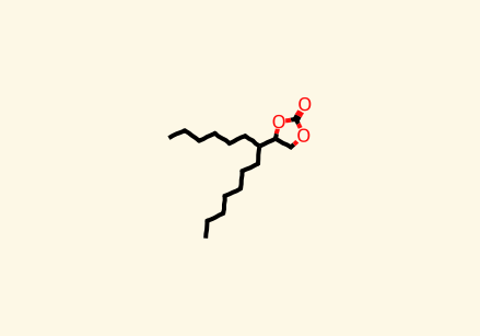 CCCCCCCC(CCCCCC)C1COC(=O)O1